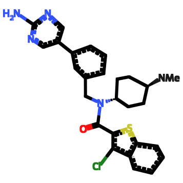 CN[C@H]1CC[C@H](N(Cc2cccc(-c3cnc(N)nc3)c2)C(=O)c2sc3ccccc3c2Cl)CC1